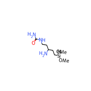 CO[SiH](CCC(N)CCNC(N)=O)OC